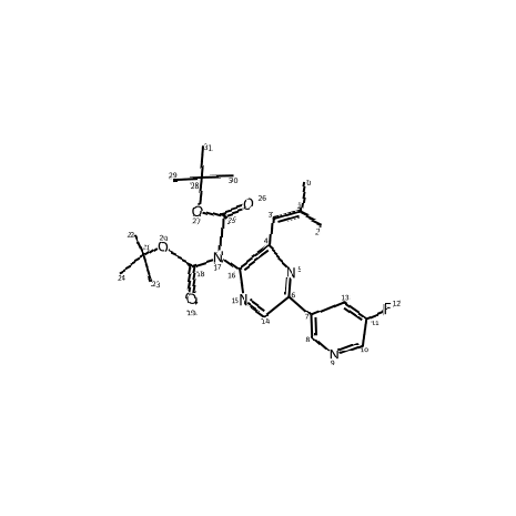 CC(C)=Cc1nc(-c2cncc(F)c2)cnc1N(C(=O)OC(C)(C)C)C(=O)OC(C)(C)C